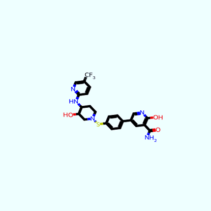 NC(=O)c1cc(-c2ccc(SN3CCC(Nc4ccc(C(F)(F)F)cn4)C(O)C3)cc2)cnc1O